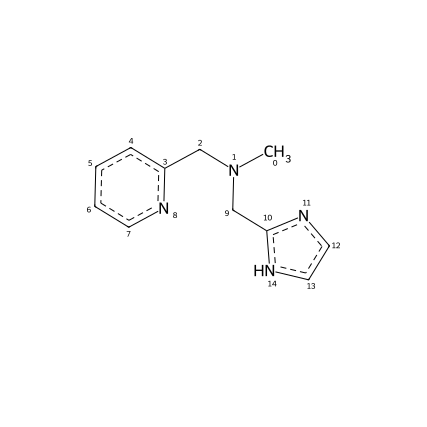 CN(Cc1ccccn1)Cc1ncc[nH]1